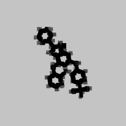 CS(=O)(=O)c1ccc(Oc2cc(Oc3cccnc3F)c3nc(-c4cnccn4)[nH]c3c2)cn1